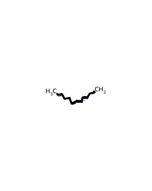 C=CC/C=C/C=C=CCC/C=C/C